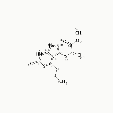 CCCc1cc(=O)[nH]c2nnc(SC(C)C(=O)OC)n12